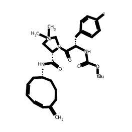 C=C1/C=C\C=C/C[C@H](NC(=O)[C@@H]2C[Si](C)(C)CN2C(=O)[C@H](Cc2ccc(I)cc2)NC(=O)OC(C)(C)C)CCC1